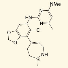 CNc1cc(C)nc(Nc2cc3c(c(C4=CCN[C@H](C)CC4)c2Cl)OCO3)n1